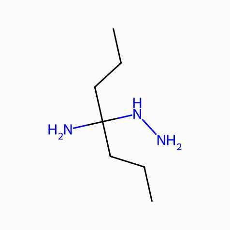 CCCC(N)(CCC)NN